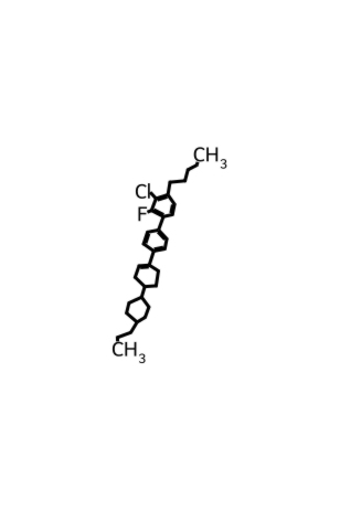 CCCCCc1ccc(-c2ccc(C3=CCC(C4CCC(CCC)CC4)CC3)cc2)c(F)c1Cl